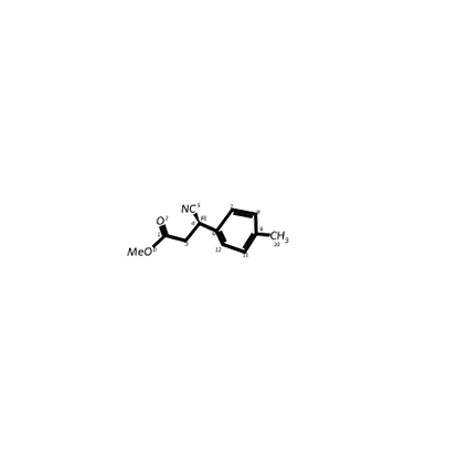 COC(=O)C[C@@H](C#N)c1ccc(C)cc1